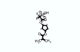 C=C(C)C(=O)OC1CCC(OC(=O)C(F)(F)S(=O)(=O)O)C1